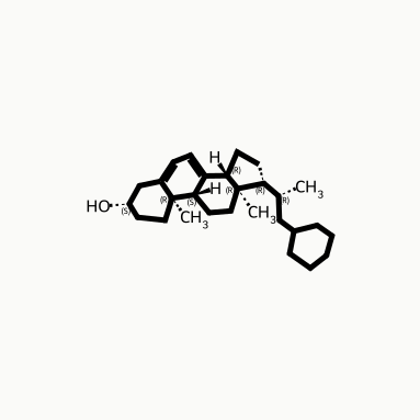 C[C@H](CC1CCCCC1)[C@H]1CC[C@H]2C3=CC=C4C[C@@H](O)CC[C@]4(C)[C@H]3CC[C@]12C